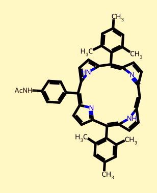 CC(=O)Nc1ccc(-c2c3nc(c(-c4c(C)cc(C)cc4C)c4ccc(cc5nc(c(-c6c(C)cc(C)cc6C)c6ccc2[nH]6)C=C5)[nH]4)C=C3)cc1